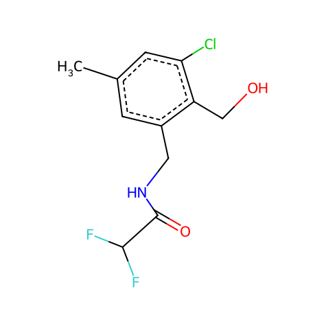 Cc1cc(Cl)c(CO)c(CNC(=O)C(F)F)c1